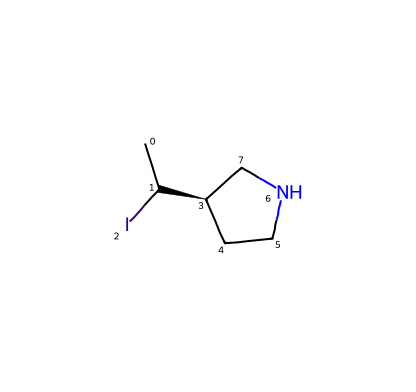 CC(I)[C@@H]1CCNC1